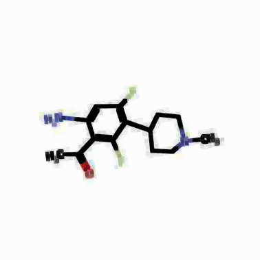 CC(=O)c1c(N)cc(F)c(C2CCN(C)CC2)c1F